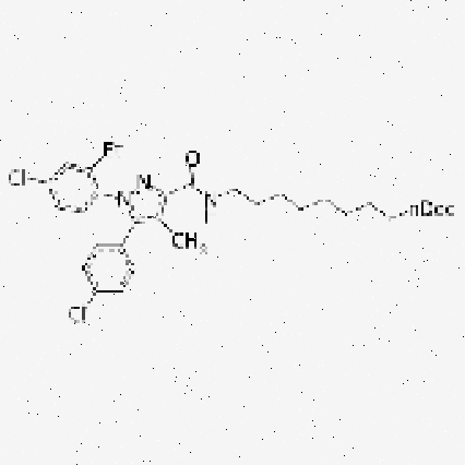 CCCCCCCCCCCCCCCCCCNC(=O)c1nn(-c2ccc(Cl)cc2CC)c(-c2ccc(Cl)cc2)c1C